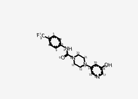 O=C(Nc1ccc(C(F)(F)F)cc1)N1CCN(c2cncc(O)c2)CC1